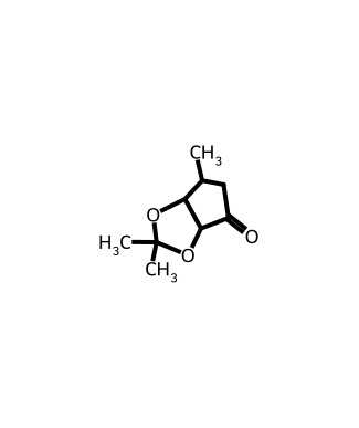 CC1CC(=O)C2OC(C)(C)OC12